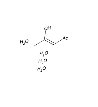 CC(=O)/C=C(/C)O.O.O.O.O